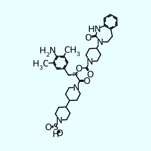 Cc1cc(C[C@@H](OC(=O)N2CCC(N3CCc4ccccc4NC3=O)CC2)C(=O)N2CCC(C3CCN([SH](=O)=O)CC3)CC2)cc(C)c1N